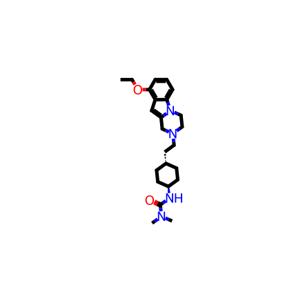 CCOc1cccc2c1cc1n2CCN(CC[C@H]2CC[C@H](NC(=O)N(C)C)CC2)C1